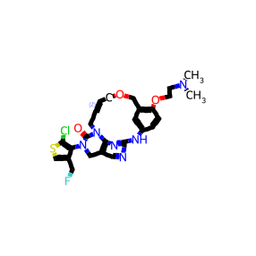 CN(C)CCOc1ccc2cc1COC/C=C\CN1C(=O)N(c3c(CF)csc3Cl)Cc3cnc(nc31)N2